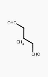 C.O=CCCCC=O